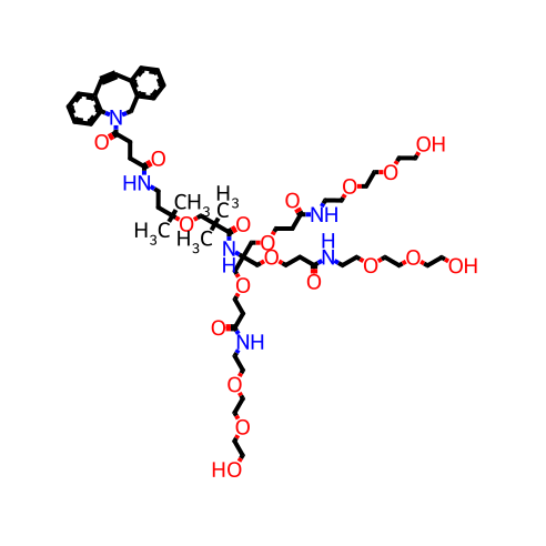 CC(C)(CCNC(=O)CCC(=O)N1Cc2ccccc2C#Cc2ccccc21)OCC(C)(C)C(=O)NC(COCCC(=O)NCCOCCOCCO)(COCCC(=O)NCCOCCOCCO)COCCC(=O)NCCOCCOCCO